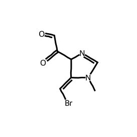 CN1C=NC(C(=O)C=O)/C1=C/Br